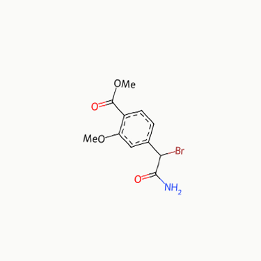 COC(=O)c1ccc(C(Br)C(N)=O)cc1OC